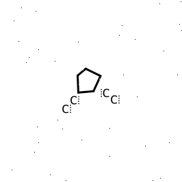 C1CCCC1.[C].[C].[C].[C]